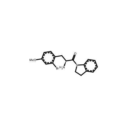 COc1ccc(C[C@H](N)C(=O)N2CCc3ccccc32)c(Br)c1